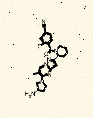 Cc1cn2nc([C@@H]3CCCCN3C(=O)c3ccc(C#N)cc3F)cc2nc1N1CC[C@H](N)C1